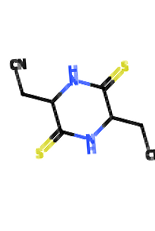 N#CCC1NC(=S)C(CC#N)NC1=S